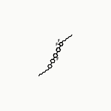 CCCCCCCc1ccc(-c2ccc(-c3ccc(C4=CCC(C5CCC(CCCCCCC)CC5)CC4)c(F)c3)cc2)c(F)c1F